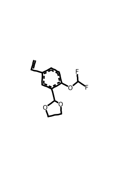 C=Cc1ccc(OC(F)F)c(C2OCCO2)c1